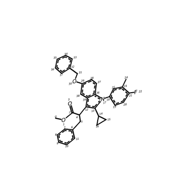 COC(=O)C(Cc1ccccc1)c1c(C2CC2)n(-c2ccc(F)c(C)c2)c2ccc(OCc3ccccc3)cc12